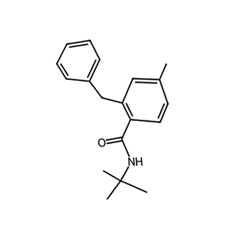 Cc1ccc(C(=O)NC(C)(C)C)c(Cc2ccccc2)c1